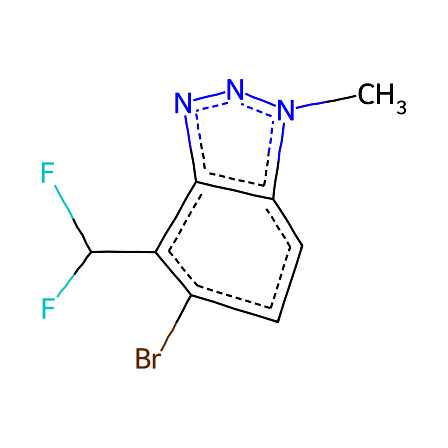 Cn1nnc2c(C(F)F)c(Br)ccc21